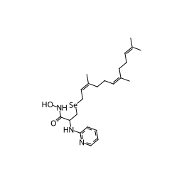 CC(C)=CCCC(C)=CCCC(C)=CC[Se]CC(Nc1ccccn1)C(=O)NO